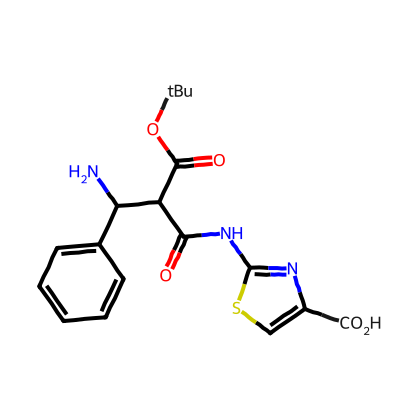 CC(C)(C)OC(=O)C(C(=O)Nc1nc(C(=O)O)cs1)C(N)c1ccccc1